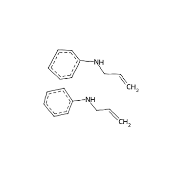 C=CCNc1ccccc1.C=CCNc1ccccc1